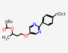 CCCCCCCCc1ccc(-c2ncc(OCCC(C)OC(=O)CCCC)cn2)cc1